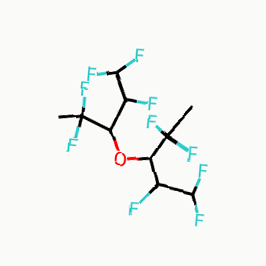 CC(F)(F)C(OC(C(F)C(F)F)C(C)(F)F)C(F)C(F)F